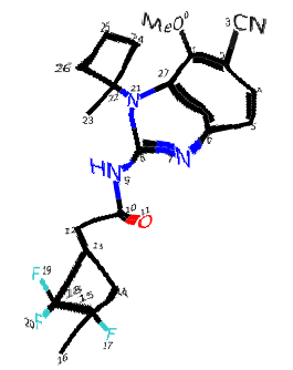 COc1c(C#N)ccc2nc(NC(=O)CC3CC(C)(F)C3(F)F)n(C3(C)CCC3)c12